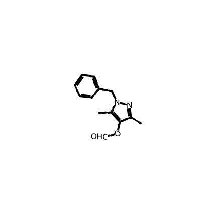 Cc1nn(Cc2ccccc2)c(C)c1OC=O